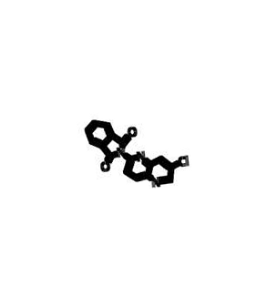 O=C1c2ccccc2C(=O)N1c1ccc2ncc(Cl)cc2n1